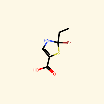 CCC1(Br)NC=C(C(=O)O)S1